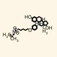 CN(C)/C=N/S(=O)(=O)CCCCCOc1ccc([C@H]2C[C@]3(C)[C@@H](O)CC[C@H]3[C@@H]3CCc4cc(O)ccc4[C@H]32)cc1